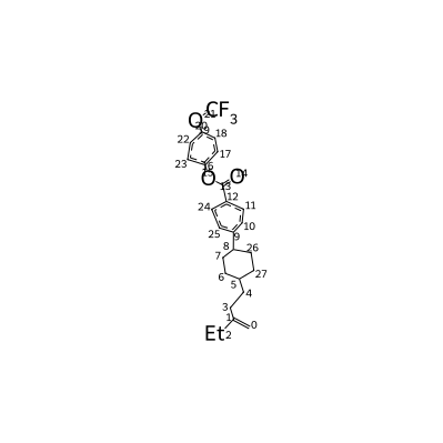 C=C(CC)CCC1CCC(c2ccc(C(=O)Oc3ccc(OC(F)(F)F)cc3)cc2)CC1